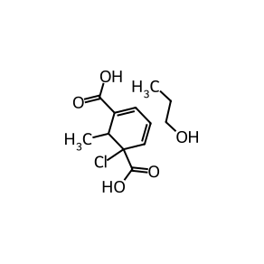 CC1C(C(=O)O)=CC=CC1(Cl)C(=O)O.CCCO